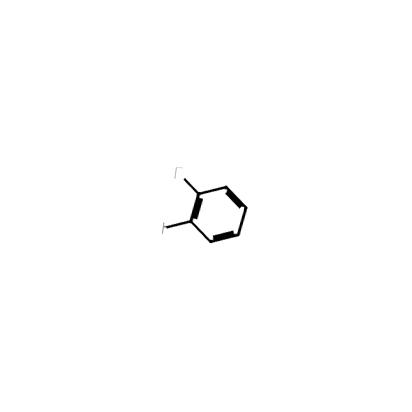 Fc1[c]cccc1I